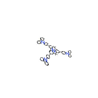 CC1(C)C2=c3c(c4cc(-c5ccc(-n6c7ccccc7c7ccccc76)cc5)cc5c4n3-c3c1cc(-c1ccc(-n4c6ccccc6c6ccccc64)cc1)cc3C5(C)C)=CC(c1ccc(-n3c4c(c5ccccc53)C=CCC4)cc1)C2